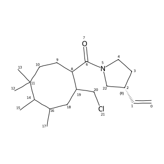 C=C[C@H]1CCN(C(=O)C2CCC(C)(C)C(C)C(C)CC2CCl)C1